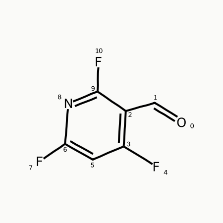 O=Cc1c(F)cc(F)nc1F